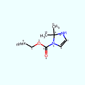 CCCCCCCOC(=O)N1C=CNC1(C)C